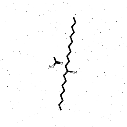 CC(=O)O.CCCCCCCCCCCC(O)CCCCCCCC